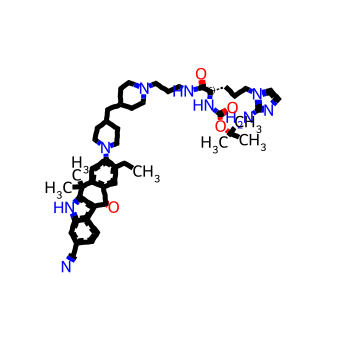 CCc1cc2c(cc1N1CCC(CC3CCN(CCCNC(=O)[C@H](CCCn4ccnc4N)NC(=O)OC(C)(C)C)CC3)CC1)C(C)(C)c1[nH]c3cc(C#N)ccc3c1C2=O